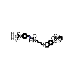 CN(C)c1ccc(/C=C/C(=O)NCCCCN2CCc3ccc(OS(=O)(=O)c4cccs4)cc3C2)cc1